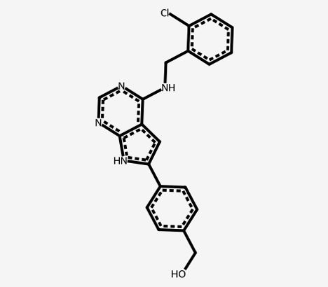 OCc1ccc(-c2cc3c(NCc4ccccc4Cl)ncnc3[nH]2)cc1